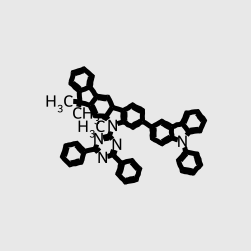 CC1(C)C2=CC3(C)C(C=C2c2ccccc21)c1ccc(-c2ccc4c(c2)c2ccccc2n4-c2ccccc2)cc1N3c1nc(-c2ccccc2)nc(-c2ccccc2)n1